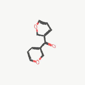 O=C(C1=CC=COC1)C1=CC=COC1